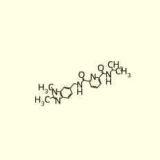 Cc1nc2ccc(CNC(=O)c3cccc(C(=O)NC(C)C)n3)cc2n1C